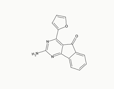 Nc1nc(-c2ccco2)c2c(n1)-c1ccccc1C2=O